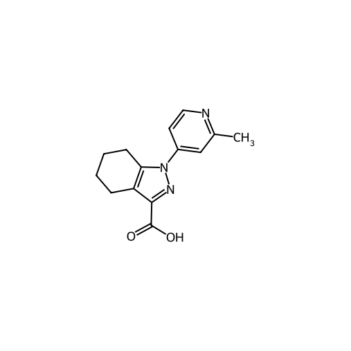 Cc1cc(-n2nc(C(=O)O)c3c2CCCC3)ccn1